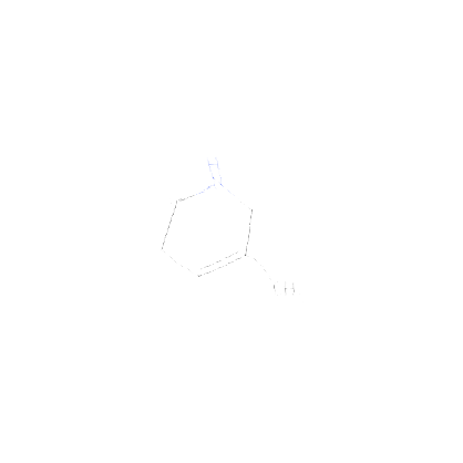 CC1=CC[C]NC1